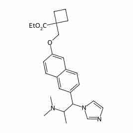 CCOC(=O)C1(COc2ccc3cc(C(C(C)N(C)C)n4ccnc4)ccc3c2)CCC1